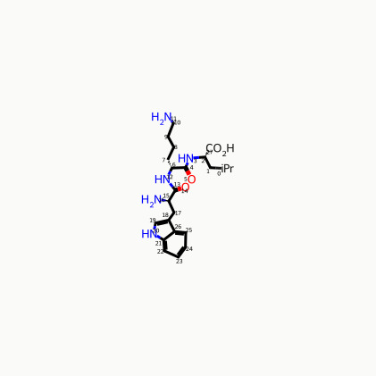 CC(C)C[C@H](NC(=O)[C@@H](CCCCN)NC(=O)[C@H](N)Cc1c[nH]c2ccccc12)C(=O)O